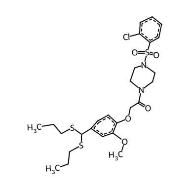 CCCSC(SCCC)c1ccc(OCC(=O)N2CCN(S(=O)(=O)c3ccccc3Cl)CC2)c(OC)c1